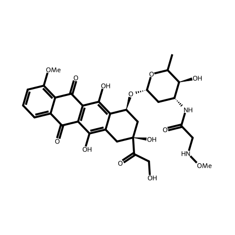 CONCC(=O)N[C@@H]1C[C@H](O[C@H]2C[C@](O)(C(=O)CO)Cc3c(O)c4c(c(O)c32)C(=O)c2c(OC)cccc2C4=O)OC(C)[C@H]1O